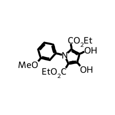 CCOC(=O)c1c(O)c(O)c(C(=O)OCC)n1-c1cccc(OC)c1